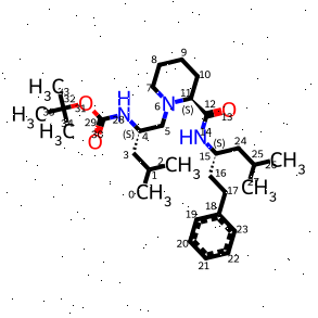 CC(C)C[C@@H](CN1CCCC[C@H]1C(=O)N[C@@H](CCc1ccccc1)CC(C)C)NC(=O)OC(C)(C)C